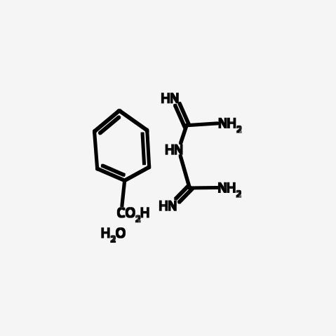 N=C(N)NC(=N)N.O.O=C(O)c1ccccc1